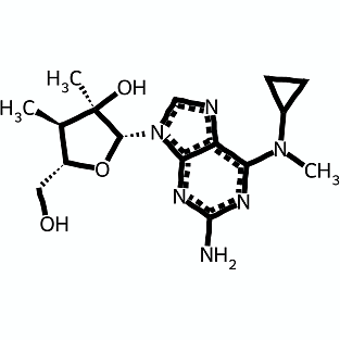 C[C@@H]1[C@@H](CO)O[C@@H](n2cnc3c(N(C)C4CC4)nc(N)nc32)[C@]1(C)O